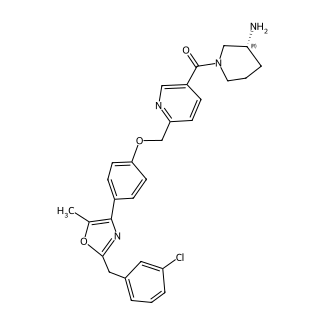 Cc1oc(Cc2cccc(Cl)c2)nc1-c1ccc(OCc2ccc(C(=O)N3CCC[C@@H](N)C3)cn2)cc1